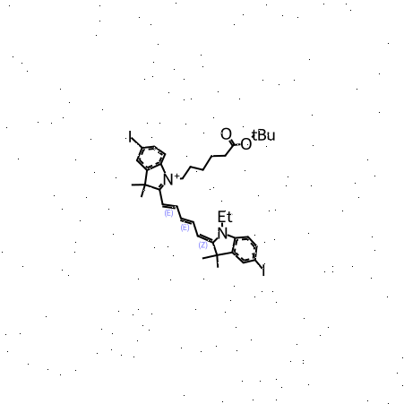 CCN1\C(=C/C=C/C=C/C2=[N+](CCCCCC(=O)OC(C)(C)C)c3ccc(I)cc3C2(C)C)C(C)(C)c2cc(I)ccc21